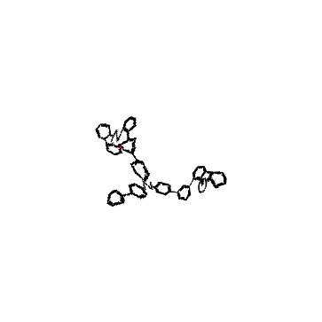 C1=CC2c3ccccc3N(c3ccccc3-c3ccc(-c4ccc(N(c5ccc(-c6ccccc6)cc5)c5ccc(-c6cccc(-c7cccc8c7oc7ccccc78)c6)cc5)cc4)cc3)C2C=C1